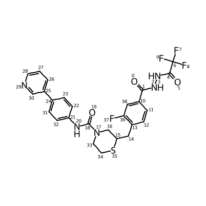 O=C(NNC(=O)C(F)(F)F)c1ccc(CC2CN(C(=O)Nc3ccc(-c4cccnc4)cc3)CCS2)c(F)c1